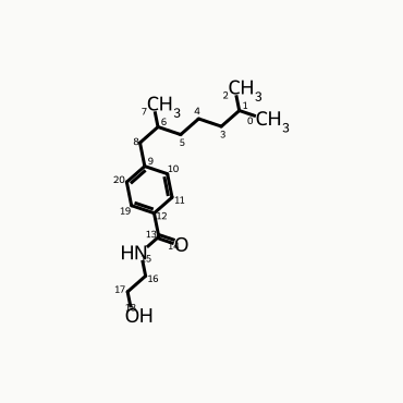 CC(C)CCCC(C)Cc1ccc(C(=O)NCCO)cc1